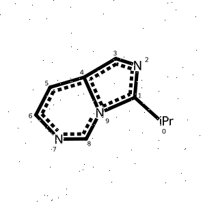 CC(C)c1ncc2ccncn12